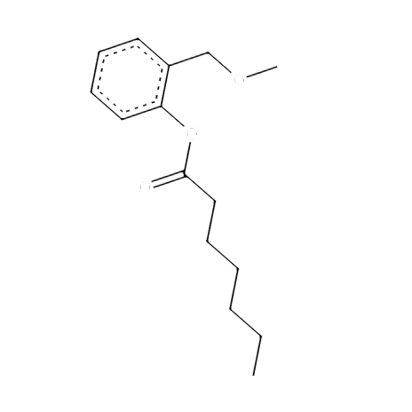 CCCCCCC(=O)Oc1ccccc1COC